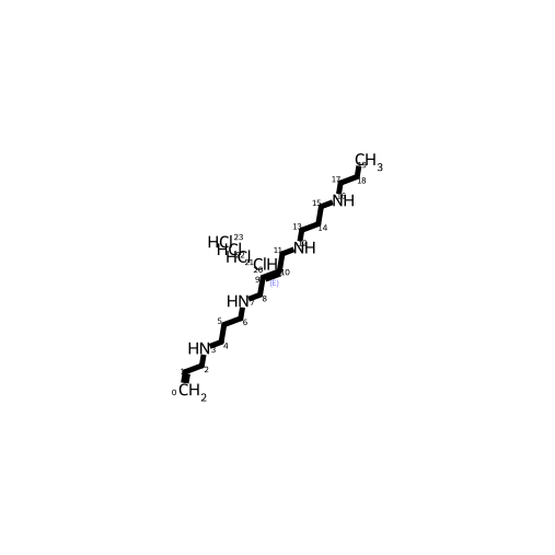 C=CCNCCCNC/C=C/CNCCCNCCC.Cl.Cl.Cl.Cl